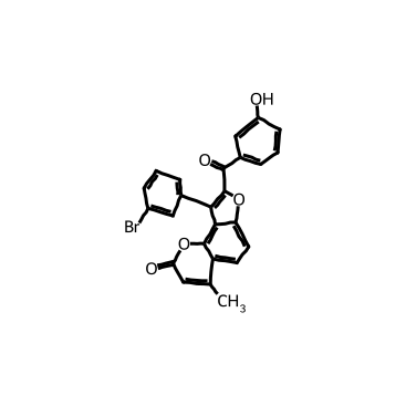 Cc1cc(=O)oc2c1ccc1oc(C(=O)c3cccc(O)c3)c(-c3cccc(Br)c3)c12